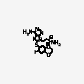 Nc1ncnc2c1nc(Sc1cc3c(cc1I)OCCO3)n2CCS(N)(=O)=O